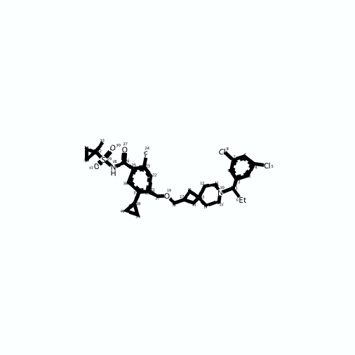 CCC(c1cc(Cl)cc(Cl)c1)N1CCC2(CC1)CC(COCc1cc(F)c(C(=O)NS(=O)(=O)C3(C)CC3)cc1C1CC1)C2